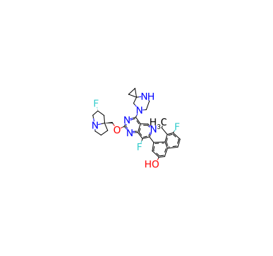 CCc1c(F)ccc2cc(O)cc(-c3ncc4c(N5CCNC6(CC6)C5)nc(OC[C@@]56CCCN5C[C@H](F)C6)nc4c3F)c12